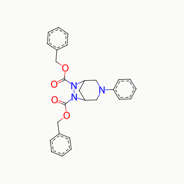 O=C(OCc1ccccc1)N1C2CC(CN(c3ccccc3)C2)N1C(=O)OCc1ccccc1